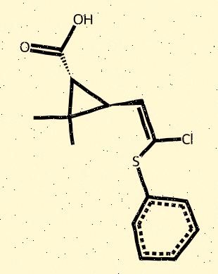 CC1(C)[C@H](/C=C(/Cl)Sc2ccccc2)[C@H]1C(=O)O